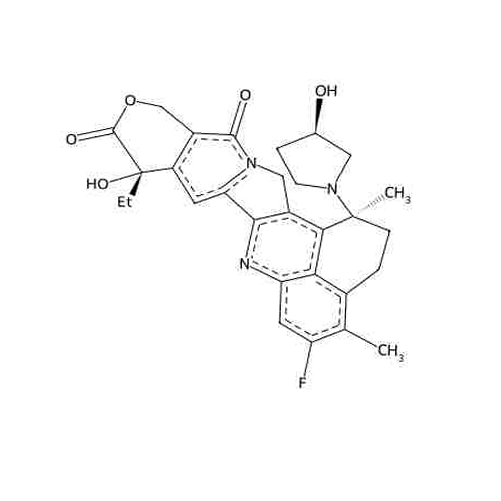 CC[C@@]1(O)C(=O)OCc2c1cc1n(c2=O)Cc2c-1nc1cc(F)c(C)c3c1c2[C@@](C)(N1CC[C@@H](O)C1)CC3